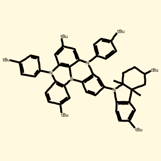 CC(C)(C)c1ccc(N2c3ccc(C(C)(C)C)cc3B3c4ccc(N5c6ccc(C(C)(C)C)cc6C6(C)CC(C(C)(C)C)CCC56C)cc4N(c4ccc(C(C)(C)C)cc4)c4cc(C(C)(C)C)cc2c43)cc1